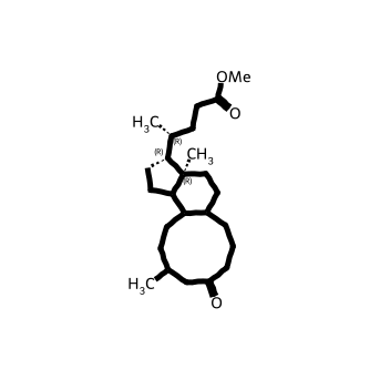 COC(=O)CC[C@@H](C)[C@H]1CCC2C3CCC(C)CC(=O)CCCC3CC[C@@]21C